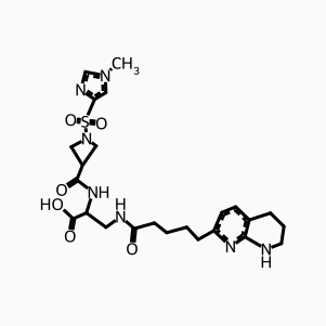 Cn1cnc(S(=O)(=O)N2CC(C(=O)NC(CNC(=O)CCCCc3ccc4c(n3)NCCC4)C(=O)O)C2)c1